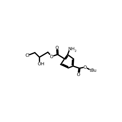 CC(C)(C)OC(=O)c1ccc(C(=O)OCC(O)CCl)c(N)c1